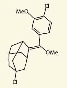 COC(=C1C2CC3CC1CC(Cl)(C3)C2)c1ccc(Cl)c(OC)c1